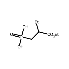 CCOC(=O)C(CC)CP(=O)(O)O